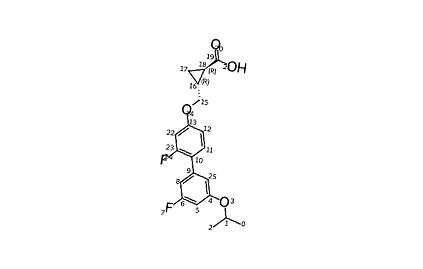 CC(C)Oc1cc(F)cc(-c2ccc(OC[C@@H]3C[C@H]3C(=O)O)cc2F)c1